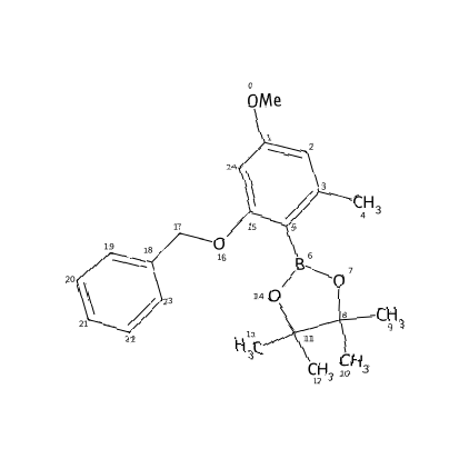 COc1cc(C)c(B2OC(C)(C)C(C)(C)O2)c(OCc2ccccc2)c1